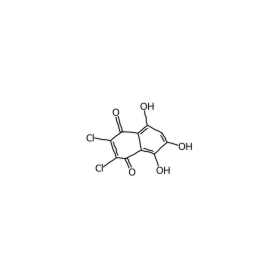 O=C1C(Cl)=C(Cl)C(=O)c2c(O)c(O)cc(O)c21